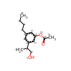 [CH2]C(CO)c1cc(CCCC)cc(OC(C)=O)c1